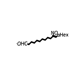 CCCCCC/C=C(/CCCCCCCCC[C]=O)[N+](=O)[O-]